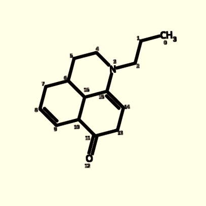 CCCN1CCC2CC=CC3C(=O)CC=C1C23